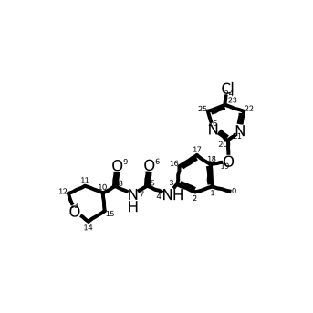 Cc1cc(NC(=O)NC(=O)C2CCOCC2)ccc1Oc1ncc(Cl)cn1